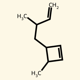 C=CC(C)CC1C=CC1C